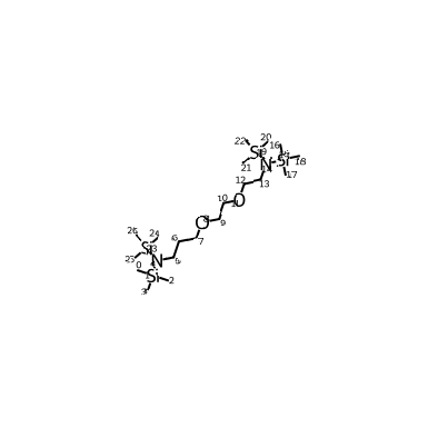 C[Si](C)(C)N(CCCOCCOCCN([Si](C)(C)C)[Si](C)(C)C)[Si](C)(C)C